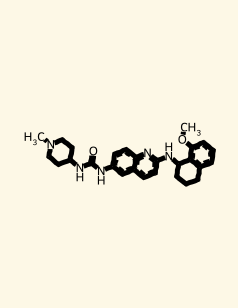 COc1cccc2c1C(Nc1ccc3cc(NC(=O)NC4CCN(C)CC4)ccc3n1)CCC2